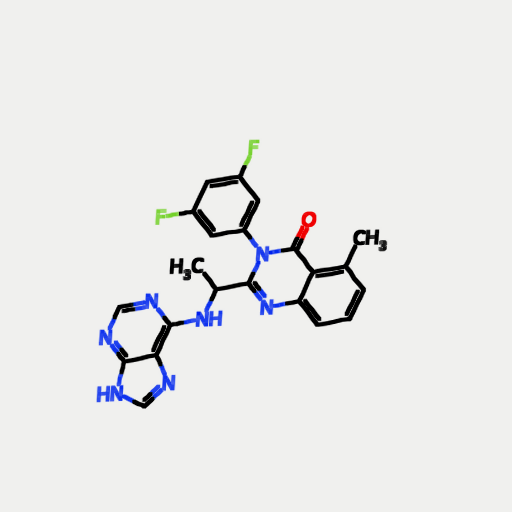 Cc1cccc2nc(C(C)Nc3ncnc4[nH]cnc34)n(-c3cc(F)cc(F)c3)c(=O)c12